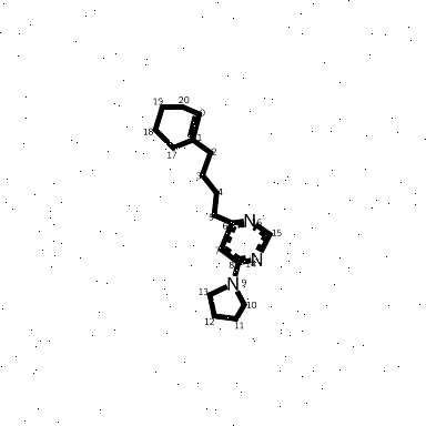 C1=C(CCCCc2cc(N3CCCC3)ncn2)CCCC1